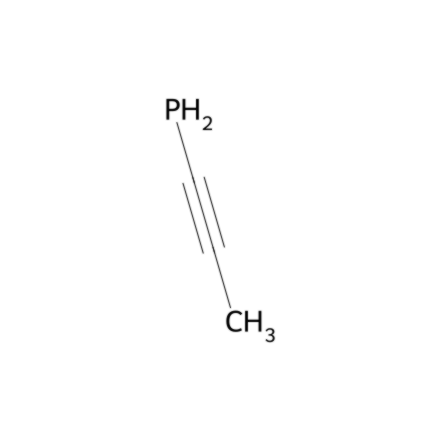 CC#CP